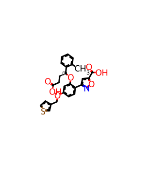 Cc1ccccc1[C@H](CCC(=O)O)Oc1cc(OCc2ccsc2)ccc1-c1cc(C(=O)O)on1